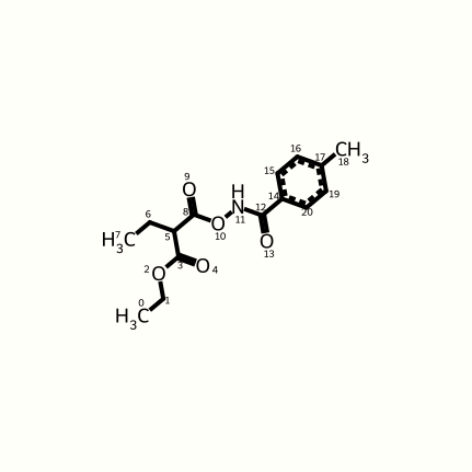 CCOC(=O)C(CC)C(=O)ONC(=O)c1ccc(C)cc1